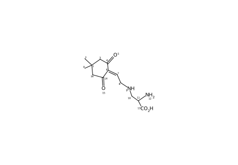 CC1(C)CC(=O)C(=CCNCC(N)C(=O)O)C(=O)C1